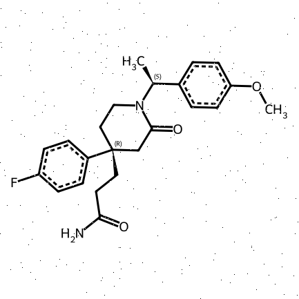 COc1ccc([C@H](C)N2CC[C@@](CCC(N)=O)(c3ccc(F)cc3)CC2=O)cc1